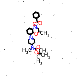 C[C@H]1CN(OC(=O)c2ccccc2)c2cccc(N3CCC(N(C)C(=O)OC(C)(C)C)CC3)c2O1